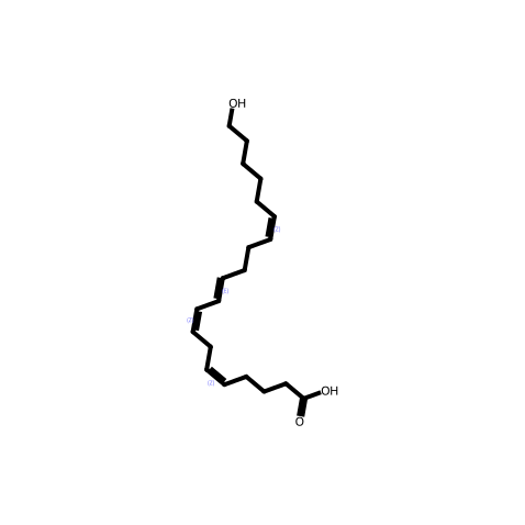 O=C(O)CCC/C=C\C/C=C\C=C\CC/C=C\CCCCCO